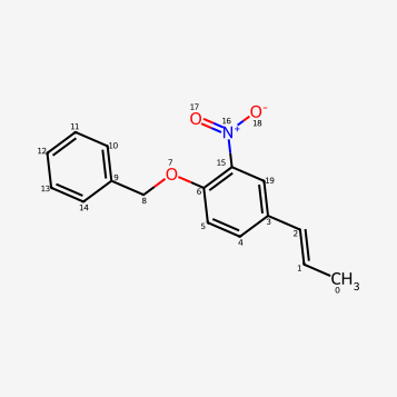 CC=Cc1ccc(OCc2ccccc2)c([N+](=O)[O-])c1